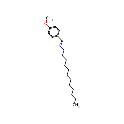 CCCCCCCCCCCC/N=C/c1ccc(OC)cc1